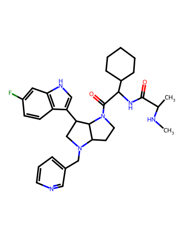 CNC(C)C(=O)NC(C(=O)N1CCC2C1C(c1c[nH]c3cc(F)ccc13)CN2Cc1cccnc1)C1CCCCC1